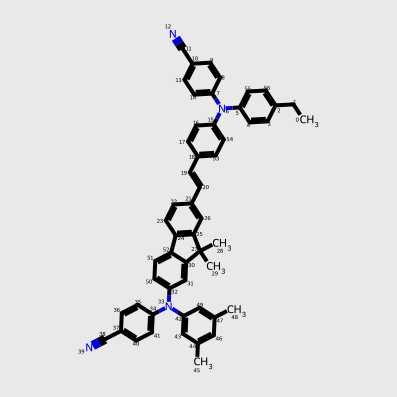 CCc1ccc(N(c2ccc(C#N)cc2)c2ccc(/C=C/c3ccc4c(c3)C(C)(C)c3cc(N(c5ccc(C#N)cc5)c5cc(C)cc(C)c5)ccc3-4)cc2)cc1